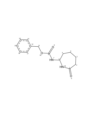 O=C1CCCCC(NC(=O)OCc2ccccc2)N1